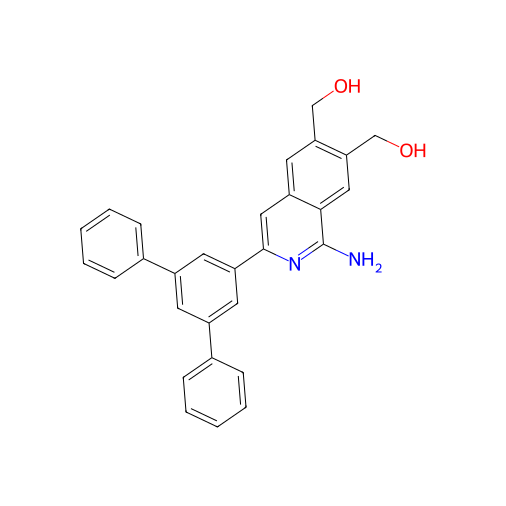 Nc1nc(-c2cc(-c3ccccc3)cc(-c3ccccc3)c2)cc2cc(CO)c(CO)cc12